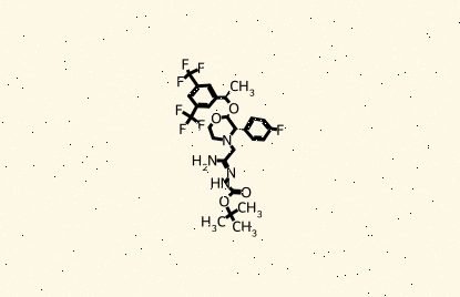 C[C@@H](O[C@H]1OCCN(C/C(N)=N/NC(=O)OC(C)(C)C)[C@H]1c1ccc(F)cc1)c1cc(C(F)(F)F)cc(C(F)(F)F)c1